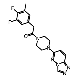 Cc1cc(CC(=O)N2CCN(c3ccc4nncn4n3)CC2)cc(F)c1F